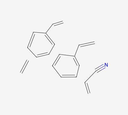 C=C.C=CC#N.C=Cc1ccccc1.C=Cc1ccccc1